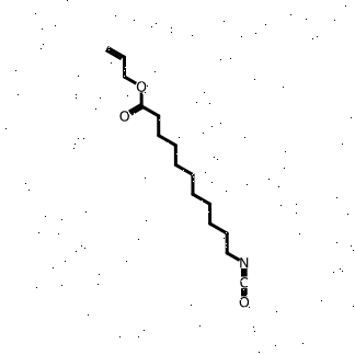 C=CCOC(=O)CCCCCCCCCCN=C=O